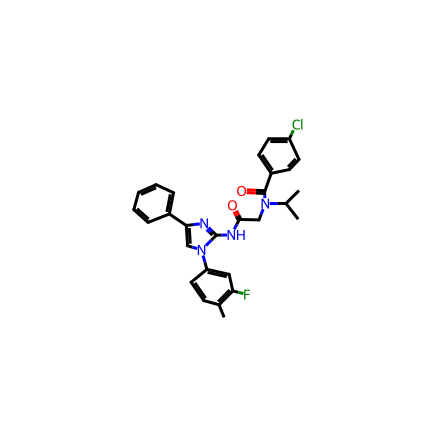 Cc1ccc(-n2cc(-c3ccccc3)nc2NC(=O)CN(C(=O)c2ccc(Cl)cc2)C(C)C)cc1F